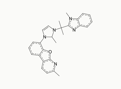 Cc1ccc2c(n1)oc1c(N3C=CN(C(C)(C)c4nc5ccccc5n4C)C3C)cccc12